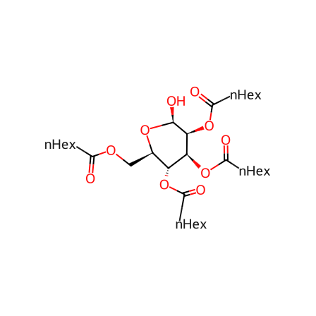 CCCCCCC(=O)OC[C@H]1O[C@@H](O)[C@@H](OC(=O)CCCCCC)[C@@H](OC(=O)CCCCCC)[C@@H]1OC(=O)CCCCCC